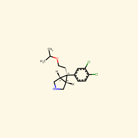 CC(C)OCC[C@]1(c2ccc(Cl)c(Cl)c2)[C@@H]2CNC[C@@H]21